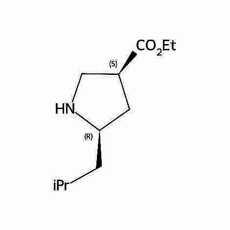 CCOC(=O)[C@@H]1CN[C@H](CC(C)C)C1